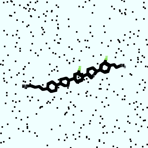 CCCCCC1CCC(C2CCC(c3ccc(C4=CCC(c5ccc(CCC)c(F)c5)CC4)c(F)c3)CC2)CC1